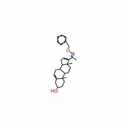 C/C(=N/OCc1ccccc1)C1=CCC2C3CC=C4CC(O)CCC4(C)C3CCC12C